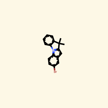 CC1(C)c2ccccc2-n2c1cc1cc(Br)ccc12